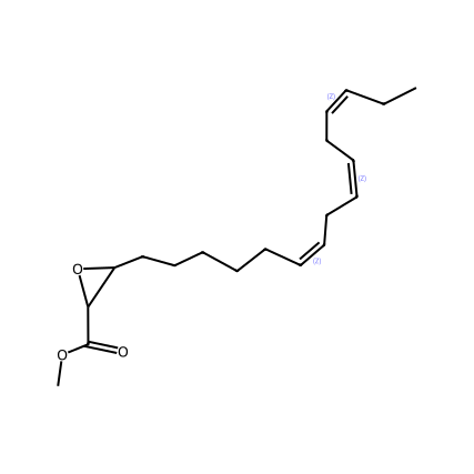 CC/C=C\C/C=C\C/C=C\CCCCCC1OC1C(=O)OC